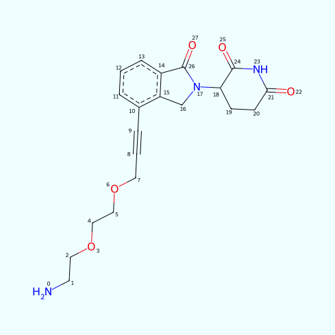 NCCOCCOCC#Cc1cccc2c1CN(C1CCC(=O)NC1=O)C2=O